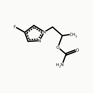 CC(Cn1cc(F)cn1)OC(N)=O